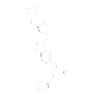 Cl.O=C1Nc2ccc(CN3N=C(c4ccc(Cl)cc4)COC3=O)cc2C1=Cc1cc(CN2CC3C[C@@H]3C2)c[nH]1